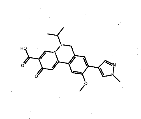 COc1cc2c(cc1-c1cnn(C)c1)CN(C(C)C)n1cc(C(=O)O)c(=O)cc1-2